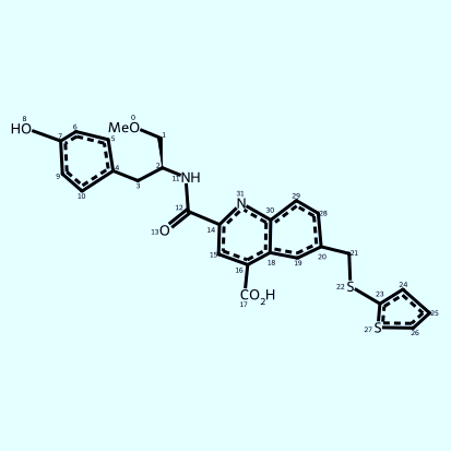 COC[C@H](Cc1ccc(O)cc1)NC(=O)c1cc(C(=O)O)c2cc(CSc3cccs3)ccc2n1